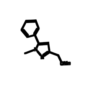 COCc1cc(-c2ccccc2)n(C)n1